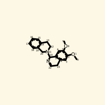 COc1cc2c(cc1OC)C(N1CCc3ccccc3C1)N=CC2